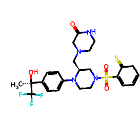 C[C@](O)(c1ccc(N2CCN(S(=O)(=O)C3=CC=CCC3=S)C[C@@H]2CN2CCNC(=O)C2)cc1)C(F)(F)F